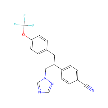 N#Cc1ccc(C(Cc2ccc(OC(F)(F)F)cc2)Cn2cncn2)cc1